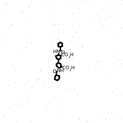 O=C(Nc1ccc(-c2ccc(NC(=O)c3ccccc3)c(C(=O)O)c2)cc1C(=O)O)c1ccccc1